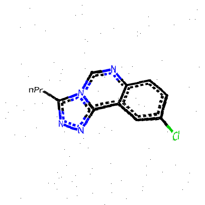 CCCc1nnc2c3cc(Cl)ccc3ncn12